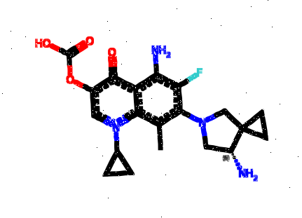 Cc1c(N2C[C@@H](N)C3(CC3)C2)c(F)c(N)c2c(=O)c(OC(=O)O)cn(C3CC3)c12